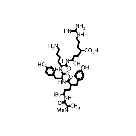 CCC(C)C(/C=C/C(Cc1ccc(O)cc1)C(=O)NC(Cc1ccc(O)cc1)C(=O)NC(CCCCN)C(=O)NC(C)/C=C/C(CCCNC(=N)N)C(=O)O)NC(=O)C(C)NC